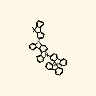 CC1(C)c2ccccc2-c2ccc(-n3c4ccccc4c4c5c6ccccc6n(-c6ccc7c(c6)[Si]6(c8ccccc8-c8ccccc86)c6ccccc6-7)c5ccc43)cc21